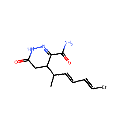 CC/C=C/C=C/C(C)C1CC(=O)NN=C1C(N)=O